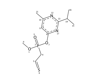 COP(=O)(CC=S)Oc1cc(C)nc(C(C)C)n1